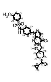 Cc1cccc(S(=O)(=O)Nc2ccc(-n3ncc4c(=O)n(CC5(O)CCN(C(=O)C6CC6)CC5)cnc43)cc2)c1